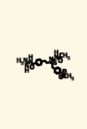 CC(=O)Nc1nc(CCc2ccc(C(=O)NC(=N)N)cc2)c(Cc2ccc(S(C)(=O)=O)cc2)s1